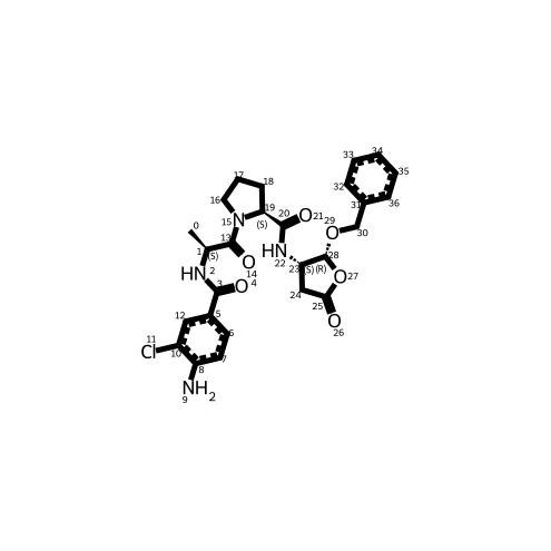 C[C@H](NC(=O)c1ccc(N)c(Cl)c1)C(=O)N1CCC[C@H]1C(=O)N[C@H]1CC(=O)O[C@H]1OCc1ccccc1